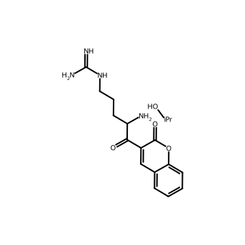 CC(C)O.N=C(N)NCCCC(N)C(=O)c1cc2ccccc2oc1=O